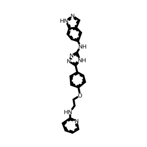 c1ccc(NCCOc2ccc(-c3nnc(Nc4ccc5[nH]ncc5c4)[nH]3)cc2)nc1